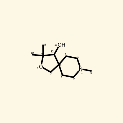 CN1CCC2(CC1)COC(C)(C)C2O